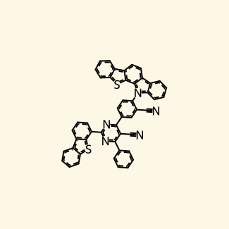 N#Cc1cc(-c2nc(-c3cccc4c3sc3ccccc34)nc(-c3ccccc3)c2C#N)ccc1-n1c2ccccc2c2ccc3c4ccccc4sc3c21